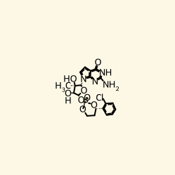 C[C@@]1(O)[C@H](O)C(OP2(=O)OCC[C@@H](c3ccccc3Cl)O2)O[C@H]1n1ccc2c(=O)[nH]c(N)nc21